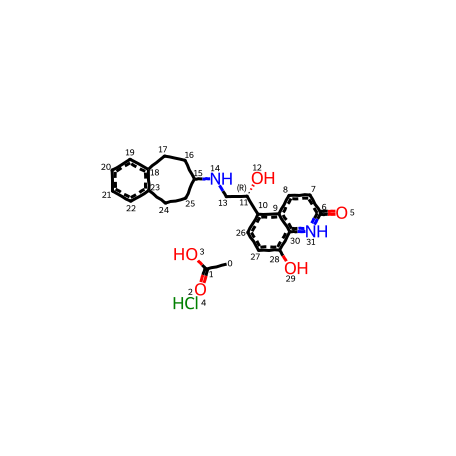 CC(=O)O.Cl.O=c1ccc2c([C@@H](O)CNC3CCc4ccccc4CC3)ccc(O)c2[nH]1